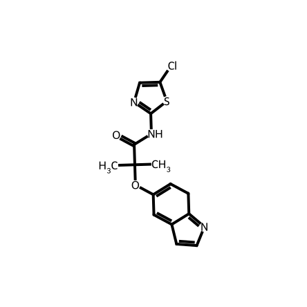 CC(C)(OC1=CCC2=NC=CC2=C1)C(=O)Nc1ncc(Cl)s1